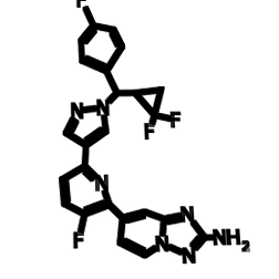 Nc1nc2cc(-c3nc(-c4cnn(C(c5ccc(F)cc5)C5CC5(F)F)c4)ccc3F)ccn2n1